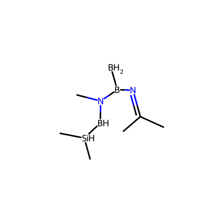 BB(N=C(C)C)N(C)B[SiH](C)C